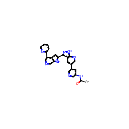 CCCC(=O)Nc1cncc(-c2cnc3[nH]nc(-c4cc5c(-c6ccccn6)cncc5[nH]4)c3c2)c1